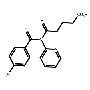 Nc1ccc(C(=O)N(C(=O)CCCC(=O)O)c2ccccn2)cc1